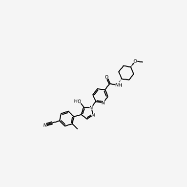 CO[C@H]1CC[C@H](NC(=O)c2ccc(-n3ncc(-c4ccc(C#N)cc4C)c3O)nc2)CC1